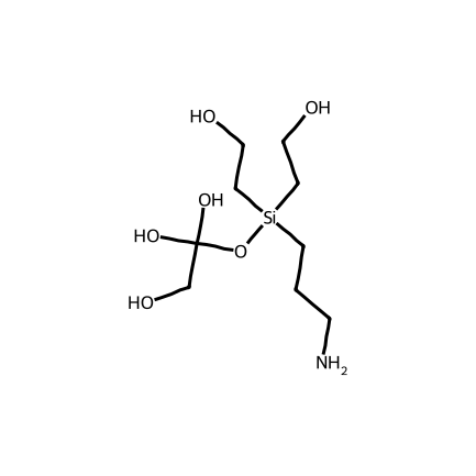 NCCC[Si](CCO)(CCO)OC(O)(O)CO